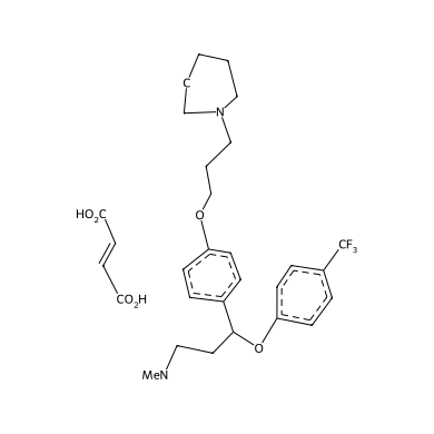 CNCCC(Oc1ccc(C(F)(F)F)cc1)c1ccc(OCCCN2CCCCC2)cc1.O=C(O)C=CC(=O)O